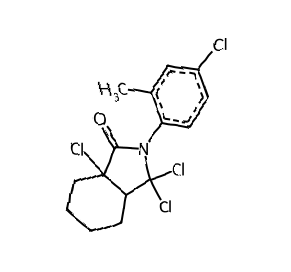 Cc1cc(Cl)ccc1N1C(=O)C2(Cl)CCCCC2C1(Cl)Cl